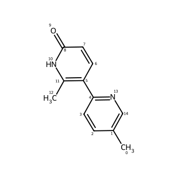 Cc1ccc(-c2ccc(=O)[nH]c2C)nc1